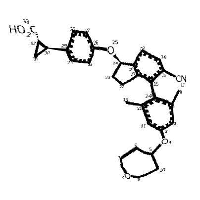 Cc1cc(OC2CCOCC2)cc(C)c1-c1c(C#N)ccc2c1CC[C@H]2Oc1ccc([C@H]2C[C@@H]2C(=O)O)cc1